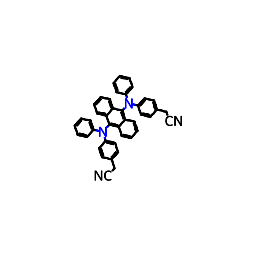 N#CCc1ccc(N(c2ccccc2)c2c3ccccc3c(N(c3ccccc3)c3ccc(CC#N)cc3)c3ccccc23)cc1